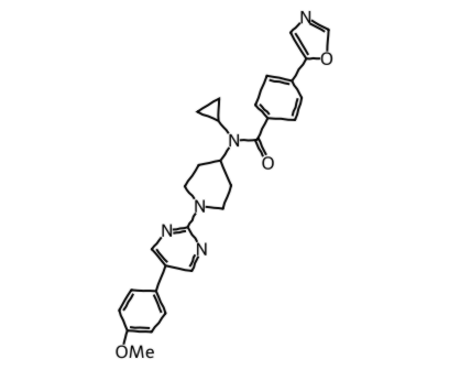 COc1ccc(-c2cnc(N3CCC(N(C(=O)c4ccc(-c5cnco5)cc4)C4CC4)CC3)nc2)cc1